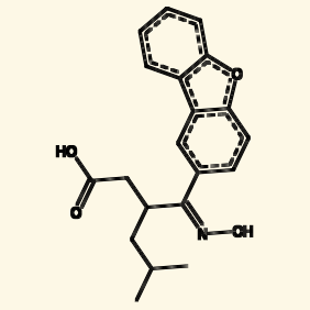 CC(C)CC(CC(=O)O)C(=NO)c1ccc2oc3ccccc3c2c1